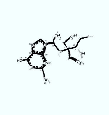 C=C[C@](CO)(O[C@H](C)n1cnc2c(O)nc(N)nc21)[C@@H](O)CF